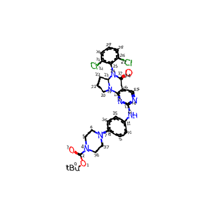 CC(C)(C)OC(=O)N1CCN(c2ccc(Nc3ncc4c(n3)N3CCCC3N(c3c(Cl)cccc3Cl)C4=O)cc2)CC1